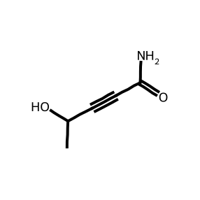 CC(O)C#CC(N)=O